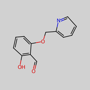 O=Cc1c(O)cccc1OCc1ccccn1